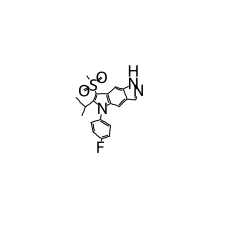 CC(C)c1c(S(C)(=O)=O)c2cc3[nH]ncc3cc2n1-c1ccc(F)cc1